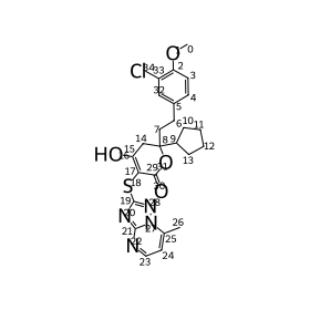 COc1ccc(CCC2(C3CCCC3)CC(O)=C(Sc3nc4nccc(C)n4n3)C(=O)O2)cc1Cl